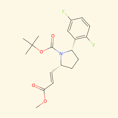 COC(=O)/C=C/[C@H]1CC[C@@H](c2cc(F)ccc2F)N1C(=O)OC(C)(C)C